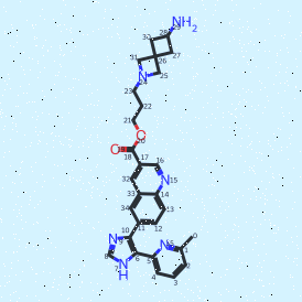 Cc1cccc(-c2[nH]cnc2-c2ccc3ncc(C(=O)OCCCN4CC5(CC(N)C5)C4)cc3c2)n1